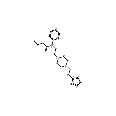 CCCC(=O)N(CCN1CCN(CCc2cccs2)CC1)c1ccccc1